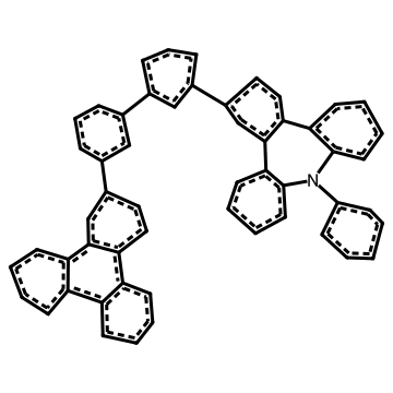 c1ccc(N2c3ccccc3-c3ccc(-c4cccc(-c5cccc(-c6ccc7c8ccccc8c8ccccc8c7c6)c5)c4)cc3-c3ccccc32)cc1